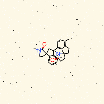 Cc1ccc(C2CC3(CCN(C)C3=O)c3cccc(C)c32)c2c1CCC21CCC(=O)N1C